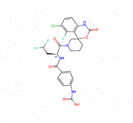 O=C(O)Nc1ccc(C(=O)N[C@@H](CC(F)F)C(=O)N2CCCC3(C2)OC(=O)Nc2ccc(Cl)c(F)c23)cc1